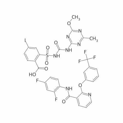 COc1nc(C)nc(NC(=O)NS(=O)(=O)c2cc(I)ccc2C(=O)O)n1.O=C(Nc1ccc(F)cc1F)c1cccnc1Oc1cccc(C(F)(F)F)c1